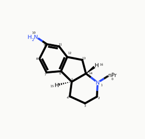 CCCN1CCC[C@H]2c3ccc(N)cc3C[C@@H]21